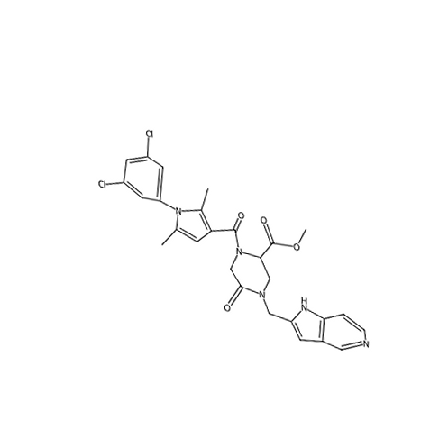 COC(=O)C1CN(Cc2cc3cnccc3[nH]2)C(=O)CN1C(=O)c1cc(C)n(-c2cc(Cl)cc(Cl)c2)c1C